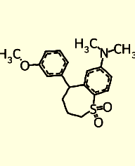 COc1cccc(C2CCCS(=O)(=O)c3ccc(N(C)C)cc32)c1